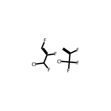 C=C(F)C(F)(F)Cl.FC=C(F)C(F)Cl